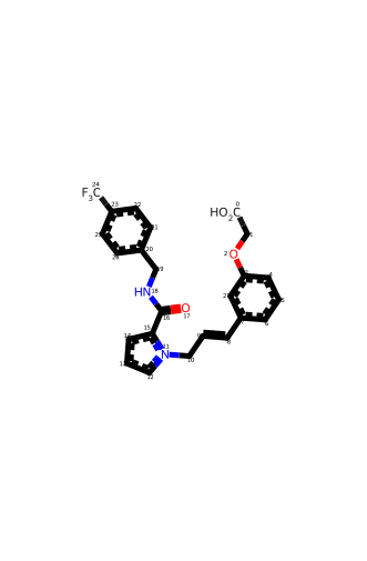 O=C(O)COc1cccc(/C=C/Cn2cccc2C(=O)NCc2ccc(C(F)(F)F)cc2)c1